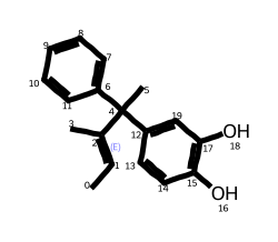 C/C=C(\C)C(C)(c1ccccc1)c1ccc(O)c(O)c1